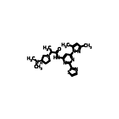 Cc1cc(C)n(-c2cc(NC(=O)C(C)N3CC[C@@H](N(C)C)C3)nc(-c3nccs3)n2)n1